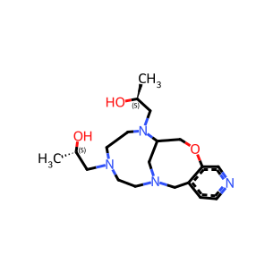 C[C@H](O)CN1CCN2Cc3ccncc3OCC(C2)N(C[C@H](C)O)CC1